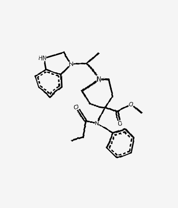 CCC(=O)N(c1ccccc1)C1(C(=O)OC)CCN(C(C)N2CNc3ccccc32)CC1